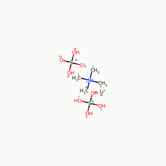 C[N+](C)(C)C.O[Si](O)(O)O.[Li+].[O-][Si]([O-])(O)O